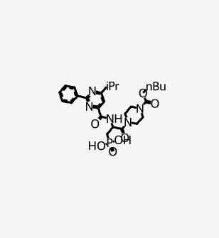 CCCCOC(=O)N1CCN(C(=O)C(CP(=O)(O)O)NC(=O)c2cc(C(C)C)nc(-c3ccccc3)n2)CC1